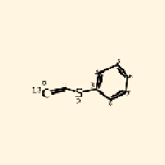 [13CH2]=CSc1ccccc1